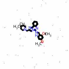 COc1ccc(CNc2nc3ccccc3c3nc(CN4CCC(C)(C)CC4)cn23)c(OC)c1